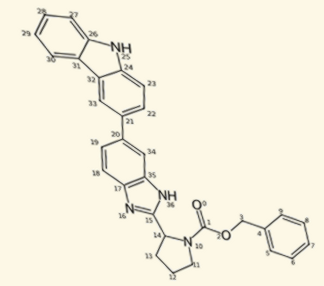 O=C(OCc1ccccc1)N1CCCC1c1nc2ccc(-c3ccc4[nH]c5ccccc5c4c3)cc2[nH]1